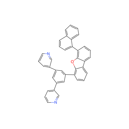 c1cncc(-c2cc(-c3cccnc3)cc(-c3cccc4c3oc3c(-c5cccc6ccccc56)cccc34)c2)c1